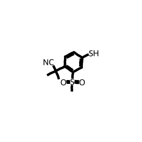 CC(C)(C#N)c1ccc(S)cc1S(C)(=O)=O